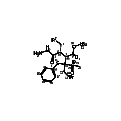 CC(C)C[C@@H](C(=O)NN)[C@@H](C(=O)OC(C)(C)C)C(CC(C)C)(Sc1ccccc1)S(C)(=O)=O